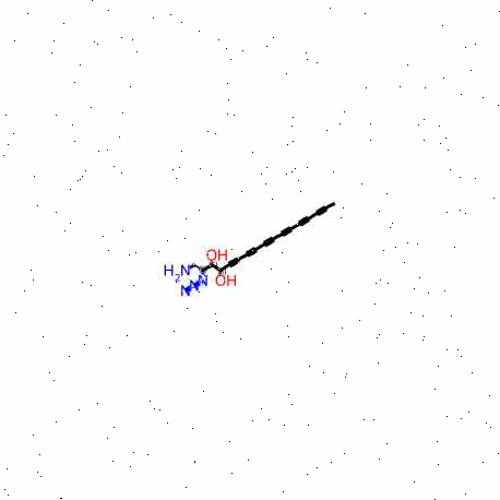 CC#CC#CC#CC#CC#CC#C[C@@H](O)[C@@H](O)[C@H](CN)N=[N+]=[N-]